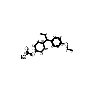 CCOc1ccc(C(CC)C2CCC(OC(=O)O)CC2)cc1